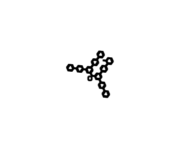 CC1CC=CC=C1c1ccc(-c2cc(C(=O)c3cc(-c4ccc(-c5ccccc5)cc4)cc(-c4ccc(-c5ccccc5)cc4)c3)cc(-c3ccc(-c4ccccc4)cc3)c2)cc1